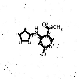 CC(=O)c1cnc(Cl)cc1NC1CCCC1